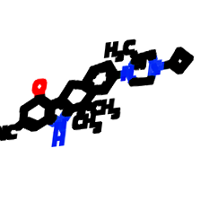 C[C@H]1CN(C2CCC2)CCN1c1ccc2c(c1)C(C)(C)c1[nH]c3c(c1C2)C(=O)CC(C#N)=C3